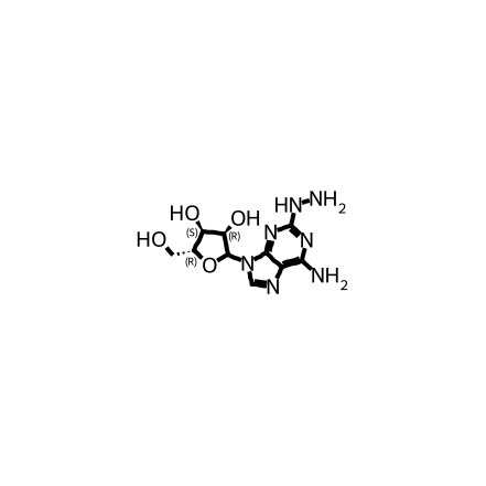 NNc1nc(N)c2ncn(C3O[C@H](CO)[C@@H](O)[C@H]3O)c2n1